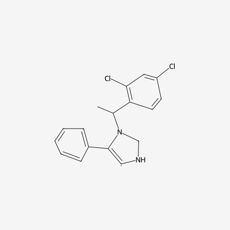 CC(c1ccc(Cl)cc1Cl)N1CN[C]=C1c1ccccc1